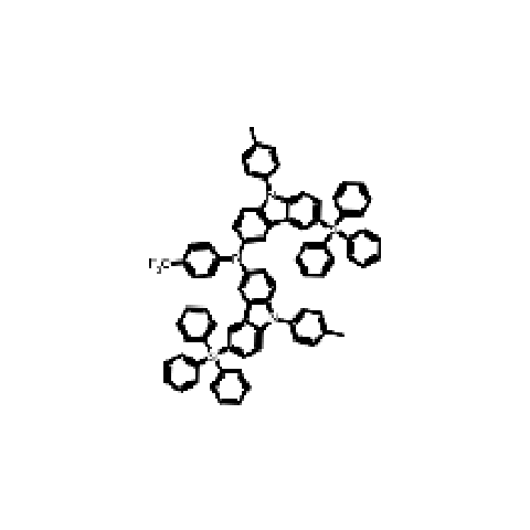 Cc1ccc(-n2c3ccc(N(c4ccc(C(F)(F)F)cc4)c4ccc5c(c4)c4cc([Si](c6ccccc6)(c6ccccc6)c6ccccc6)ccc4n5-c4ccc(C)cc4)cc3c3cc([Si](c4ccccc4)(c4ccccc4)c4ccccc4)ccc32)cc1